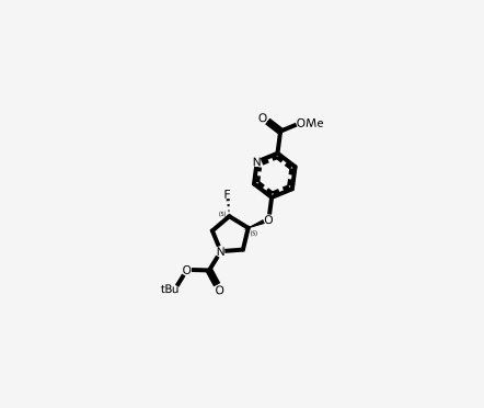 COC(=O)c1ccc(O[C@H]2CN(C(=O)OC(C)(C)C)C[C@@H]2F)cn1